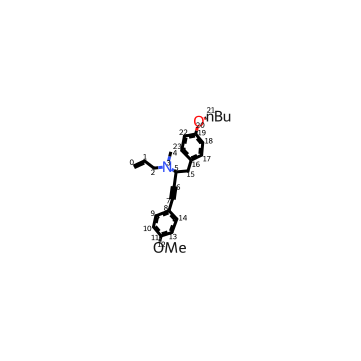 C=CCN(C)C(C#Cc1ccc(OC)cc1)Cc1ccc(OCCCC)cc1